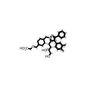 O=C(O)COCC1CCC(Cn2nc(-c3ccccc3)c(-c3ccc(F)c(F)c3)c2CC[C@@H](O)CO)CC1